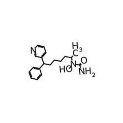 CC(CCCCC(c1ccccc1)c1cccnc1)N(O)C(N)=O